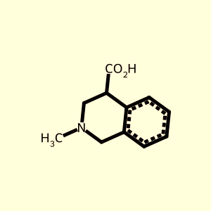 CN1Cc2ccccc2C(C(=O)O)C1